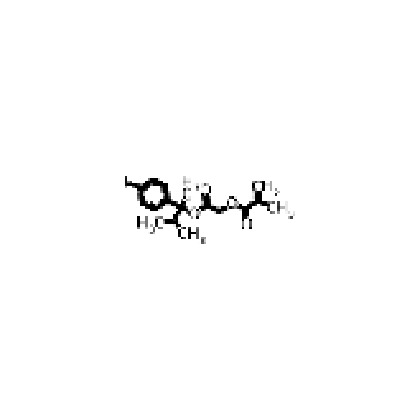 C=C(C)C(=O)OCC(=O)OC(C)(c1ccc(I)cc1)C(C)C